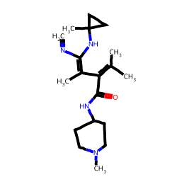 C=N/C(NC1(C)CC1)=C(\C)C(C(=O)NC1CCN(C)CC1)=C(C)C